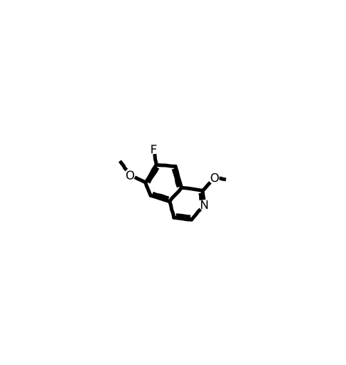 COc1cc2ccnc(OC)c2cc1F